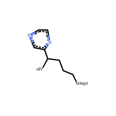 CCCCCCCCCCC(CCC)c1cnccn1